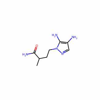 CC(CCn1ncc(N)c1N)C(N)=O